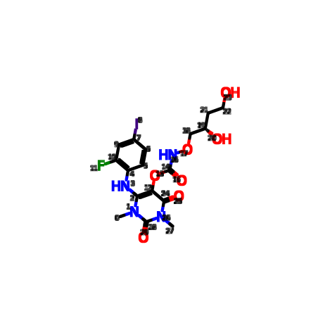 Cn1c(Nc2ccc(I)cc2F)c(OC(=O)NOC[C@H](O)CCO)c(=O)n(C)c1=O